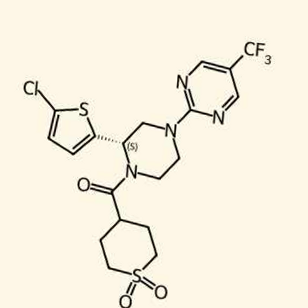 O=C(C1CCS(=O)(=O)CC1)N1CCN(c2ncc(C(F)(F)F)cn2)C[C@H]1c1ccc(Cl)s1